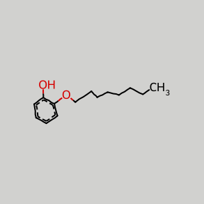 CCCCCCCCOc1ccccc1O